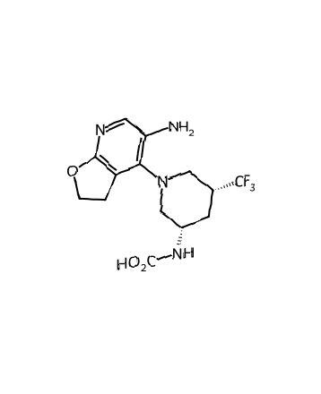 Nc1cnc2c(c1N1C[C@@H](NC(=O)O)C[C@@H](C(F)(F)F)C1)CCO2